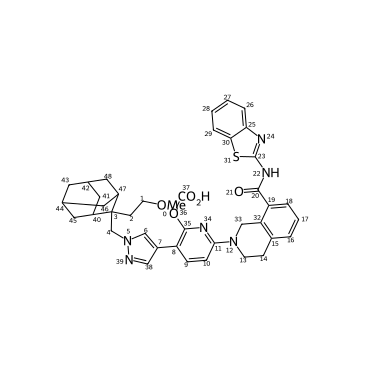 COCCC1(Cn2cc(-c3ccc(N4CCc5cccc(C(=O)Nc6nc7ccccc7s6)c5C4)nc3OC(=O)O)cn2)C2CC3CC(C2)CC1C3